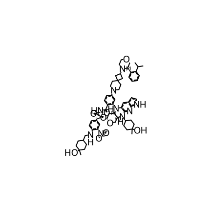 CC(C)c1ccccc1[C@@H]1COCCN1C1CC2(CCN(c3ccc(C(=O)NS(=O)(=O)c4ccc(NCC5CCC(C)(O)CC5)c([N+](=O)[O-])c4)c(N4c5cc6cc[nH]c6nc5N(C5CCC(C)(O)CC5)[C@H]5COCC[C@@H]54)c3)CC2)C1